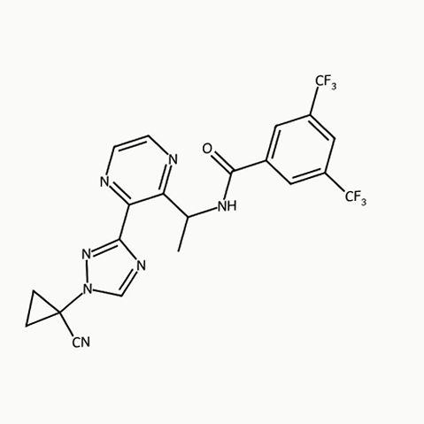 CC(NC(=O)c1cc(C(F)(F)F)cc(C(F)(F)F)c1)c1nccnc1-c1ncn(C2(C#N)CC2)n1